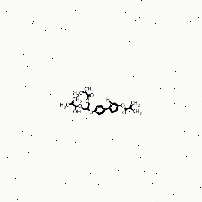 C=C(C)C(=O)OCC(COC(O)C(=C)C)Oc1ccc(-c2ccc(OC(=O)C(=C)C)cc2F)cc1